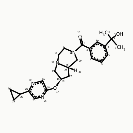 CC(C)(O)c1cccc(C(=O)N2CCN3C[C@H](Oc4cnc(C5CC5)cn4)C[C@H]3C2)c1